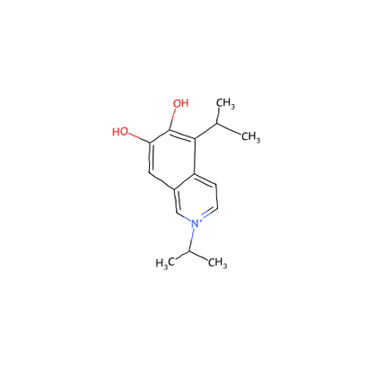 CC(C)c1c(O)c(O)cc2c[n+](C(C)C)ccc12